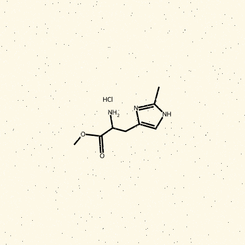 COC(=O)C(N)Cc1c[nH]c(C)n1.Cl